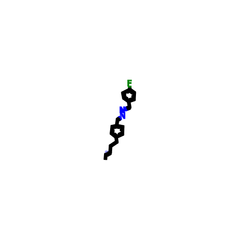 C/C=C/CCc1ccc(C=NN=Cc2ccc(F)cc2)cc1